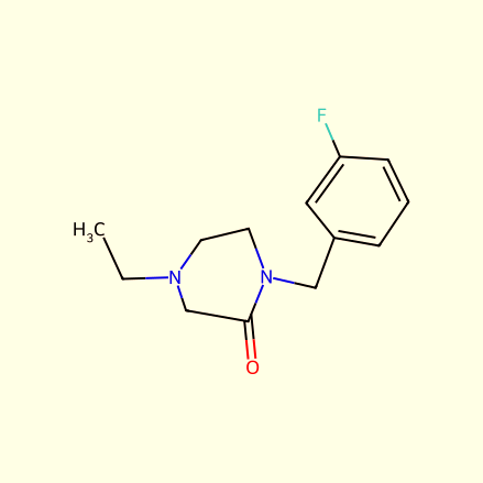 CCN1CCN(Cc2cccc(F)c2)C(=O)C1